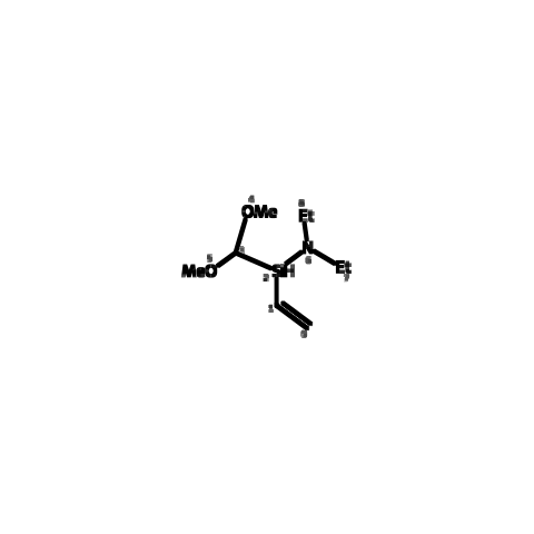 C=C[SiH](C(OC)OC)N(CC)CC